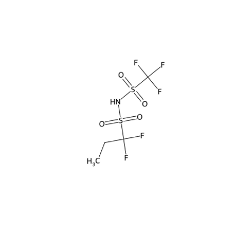 CCC(F)(F)S(=O)(=O)NS(=O)(=O)C(F)(F)F